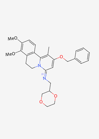 COc1ccc2c(c1OC)CCn1c-2c(C)c(OCc2ccccc2)c/c1=N\CC1COCCO1